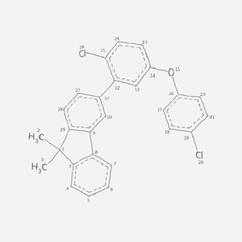 CC1(C)c2ccccc2-c2cc(-c3cc(Oc4ccc(Cl)cc4)ccc3Cl)ccc21